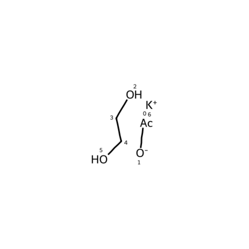 CC(=O)[O-].OCCO.[K+]